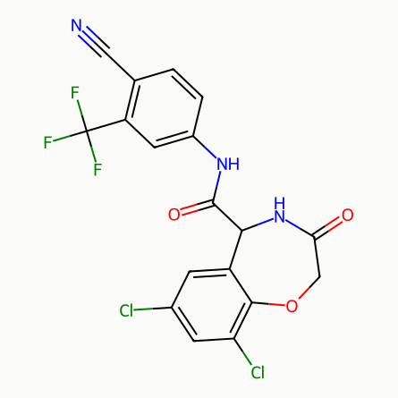 N#Cc1ccc(NC(=O)C2NC(=O)COc3c(Cl)cc(Cl)cc32)cc1C(F)(F)F